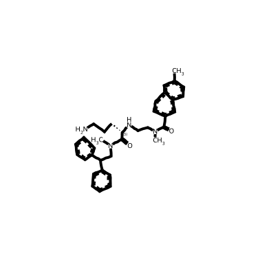 Cc1ccc2cc(C(=O)N(C)CCN[C@@H](CCCN)C(=O)N(C)CC(c3ccccc3)c3ccccc3)ccc2c1